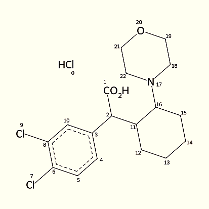 Cl.O=C(O)C(c1ccc(Cl)c(Cl)c1)C1CCCCC1N1CCOCC1